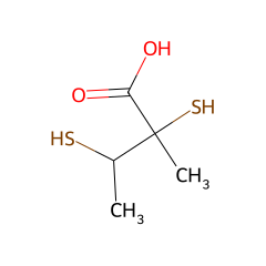 CC(S)C(C)(S)C(=O)O